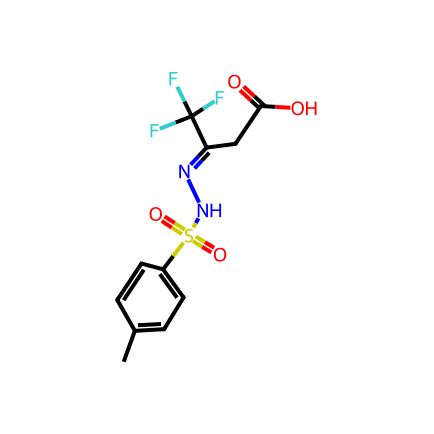 Cc1ccc(S(=O)(=O)N/N=C(\CC(=O)O)C(F)(F)F)cc1